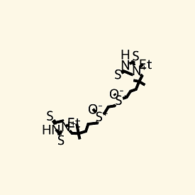 CC[N+]1(CC(C)(C)CCC[S+]([O-])CCC[S+]([O-])CCCC(C)(C)C[N+]2(CC)CC(=S)NC2=S)CC(=S)NC1=S